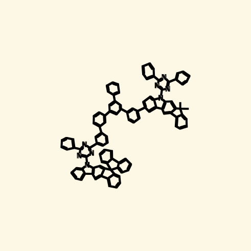 CC1(C)c2ccccc2-c2cc3c4cc(-c5cccc(-c6cc(-c7ccccc7)cc(-c7cccc(-c8cccc(-c9nc(-c%10ccccc%10)nc(-n%10c%11ccccc%11c%11cc%12c(cc%11%10)C%10(c%11ccccc%11-c%11ccccc%11%10)c%10ccccc%10-%12)n9)c8)c7)c6)c5)ccc4n(-c4nc(-c5ccccc5)nc(-c5ccccc5)n4)c3cc21